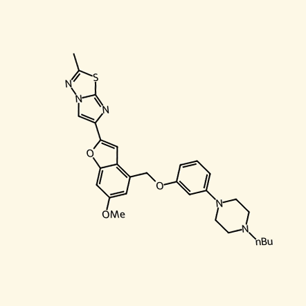 CCCCN1CCN(c2cccc(OCc3cc(OC)cc4oc(-c5cn6nc(C)sc6n5)cc34)c2)CC1